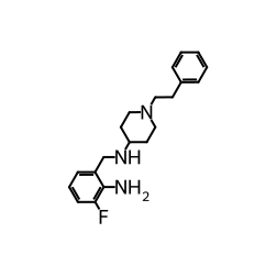 Nc1c(F)cccc1CNC1CCN(CCc2ccccc2)CC1